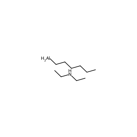 CCCCC[CH2][AlH2].CCNCC